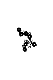 c1ccc(C2NC(c3ccc4oc5ccc(-c6cccc7c6oc6ccccc67)cc5c4c3)NC(c3ccc4sc5ccccc5c4c3)N2)cc1